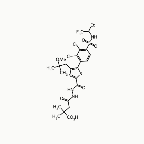 CCC(NS(=O)(=O)c1ccc(-c2sc(C(=O)NNC(=O)CC(C)(C)C(=O)O)nc2CC(C)(C)OC)c(Cl)c1Cl)C(F)(F)F